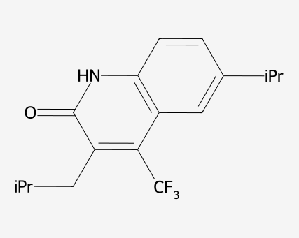 CC(C)Cc1c(C(F)(F)F)c2cc(C(C)C)ccc2[nH]c1=O